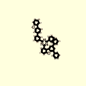 c1ccc(-c2cc(-c3ccccc3)c3oc4cccc(-c5nc(-c6ccccc6)nc(-c6cccc(-c7ccc8c(c7)oc7ccccc78)c6)n5)c4c3c2)cc1